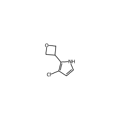 Clc1cc[nH]c1C1COC1